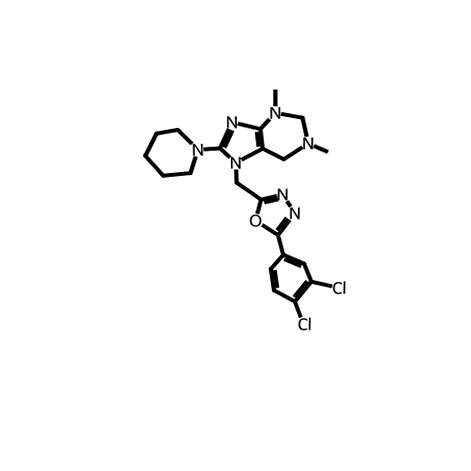 CN1Cc2c(nc(N3CCCCC3)n2Cc2nnc(-c3ccc(Cl)c(Cl)c3)o2)N(C)C1